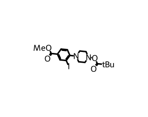 COC(=O)c1ccc(N2CCN(OC(=O)C(C)(C)C)CC2)c(I)c1